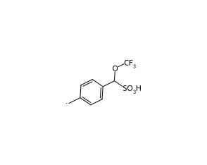 [CH2]c1ccc(C(OC(F)(F)F)S(=O)(=O)O)cc1